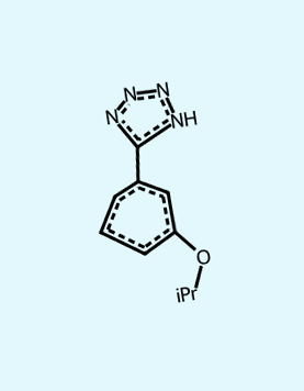 CC(C)Oc1cccc(-c2nnn[nH]2)c1